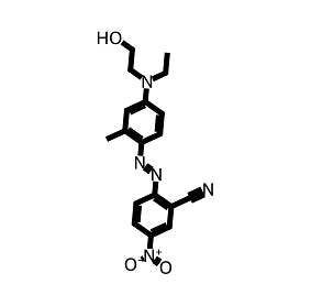 CCN(CCO)c1ccc(N=Nc2ccc([N+](=O)[O-])cc2C#N)c(C)c1